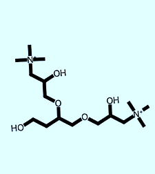 C[N+](C)(C)CC(O)COCC(CCO)OCC(O)C[N+](C)(C)C